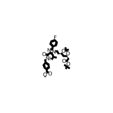 COC(=O)c1ccc(CNC(=O)c2nc(-c3ccc(F)cc3)n(CC[C@@H]3C[C@H](CC(=O)OC(C)(C)C)OC(C)(C)O3)c2C(C)C)cc1